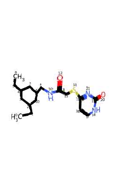 CCC1CC(CC)CC(CNC(=O)CSc2cc[nH]c(=O)n2)C1